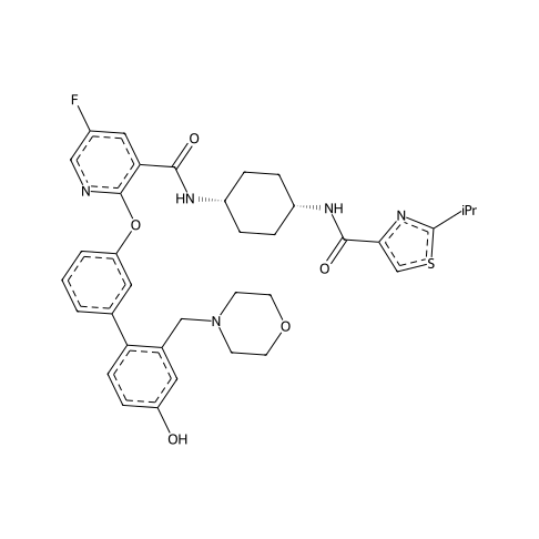 CC(C)c1nc(C(=O)N[C@H]2CC[C@@H](NC(=O)c3cc(F)cnc3Oc3cccc(-c4ccc(O)cc4CN4CCOCC4)c3)CC2)cs1